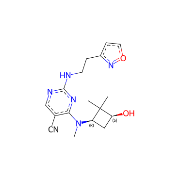 CN(c1nc(NCCc2ccon2)ncc1C#N)[C@@H]1C[C@H](O)C1(C)C